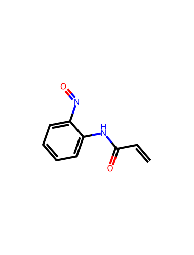 C=CC(=O)Nc1ccccc1N=O